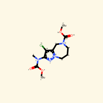 CN(C(=O)OC(C)(C)C)c1nn2c(c1Cl)CN(C(=O)OC(C)(C)C)CCC2